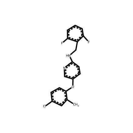 Cc1cc(Cl)ccc1Oc1ccc(NCc2c(F)cccc2F)nc1